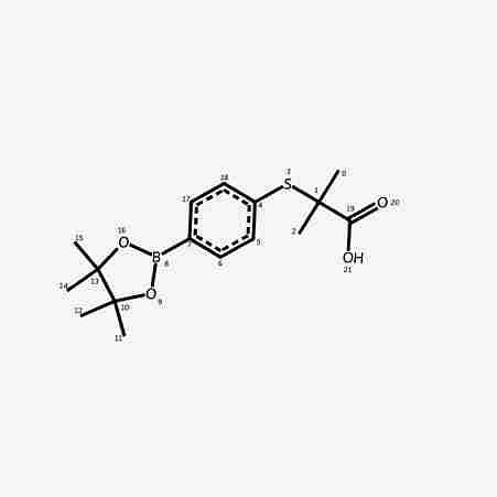 CC(C)(Sc1ccc(B2OC(C)(C)C(C)(C)O2)cc1)C(=O)O